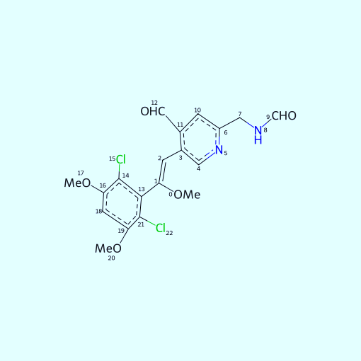 CO/C(=C\c1cnc(CNC=O)cc1C=O)c1c(Cl)c(OC)cc(OC)c1Cl